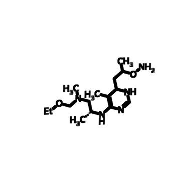 CCOCN(C)C[C@@H](C)NC1=C(C)C(CC(C)ON)NC=N1